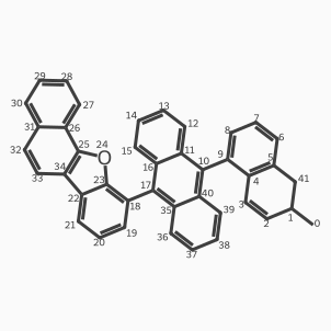 CC1C=Cc2c(cccc2-c2c3ccccc3c(-c3cccc4c3oc3c5ccccc5ccc43)c3ccccc23)C1